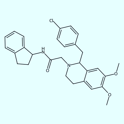 COc1cc2c(cc1OC)C(Cc1ccc(Cl)cc1)N(CC(=O)NC1CCc3ccccc31)CC2